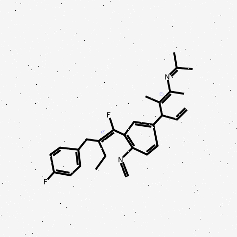 C=CC(/C(C)=C(\C)N=C(C)C)c1ccc(N=C)c(/C(F)=C(\CC)Cc2ccc(F)cc2)c1